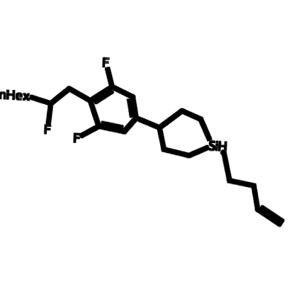 C=CCCC[SiH]1CCC(c2cc(F)c(CC(F)CCCCCC)c(F)c2)CC1